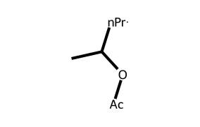 CC[CH]C(C)OC(C)=O